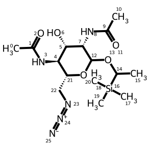 CC(=O)N[C@H]1[C@H](O)[C@H](NC(C)=O)C(OC(C)[Si](C)(C)C)O[C@@H]1CN=[N+]=[N-]